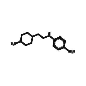 CN1CCC(CCNc2ccc(S(=O)(=O)O)cn2)CC1